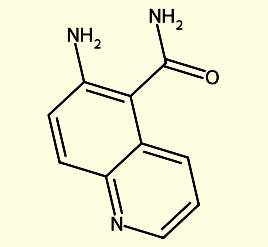 NC(=O)c1c(N)ccc2ncccc12